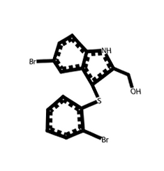 OCc1[nH]c2ccc(Br)cc2c1Sc1ccccc1Br